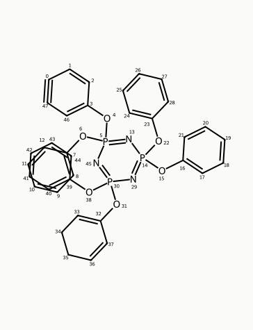 c1ccc(OP2(Oc3ccccc3)=NP(Oc3ccccc3)(Oc3ccccc3)=NP(OC3=CCCC=C3)(Oc3ccccc3)=N2)cc#1